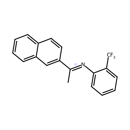 C/C(=N\c1ccccc1C(F)(F)F)c1ccc2ccccc2c1